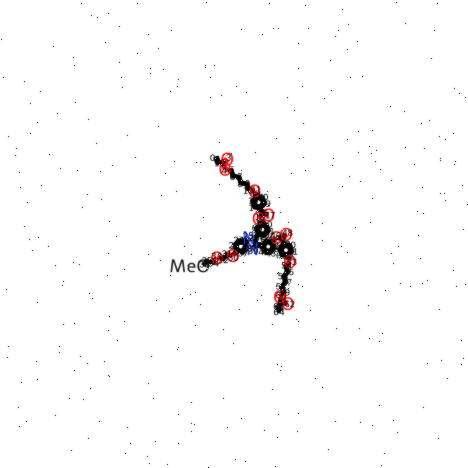 C=CC(=O)OCCCCCCOc1ccc(C(=O)Oc2cccc(-c3nc4ccc(OCCOCCOC)cc4nc3-c3cccc(OC(=O)c4ccc(OCCCCCCOC(=O)C=C)cc4)c3)c2)cc1